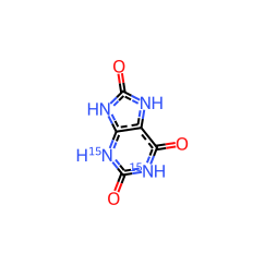 O=c1[nH]c2[15nH]c(=O)[15nH]c(=O)c2[nH]1